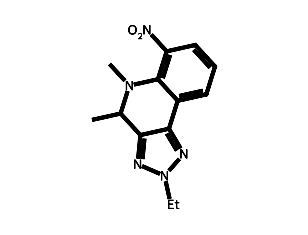 CCn1nc2c(n1)C(C)N(C)c1c-2cccc1[N+](=O)[O-]